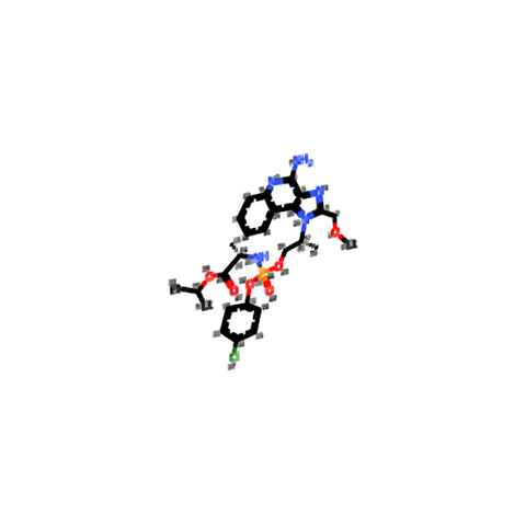 CCOCc1nc2c(N)nc3ccccc3c2n1[C@H](C)CO[P@@](=O)(N[C@@H](C)C(=O)OC(CC)CC)Oc1ccc(Cl)cc1